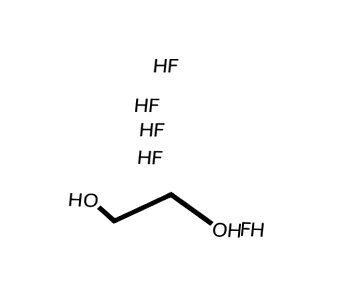 F.F.F.F.F.OCCO